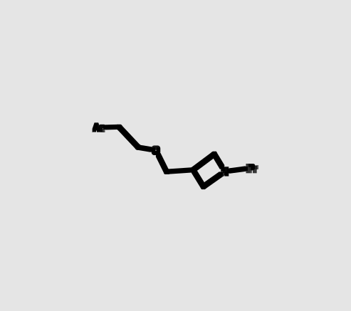 CC(=O)CCOCC1CN(C(C)C)C1